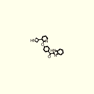 O=C(c1ccc(Oc2ncccc2C2CNC2)cc1)c1nc2ccccc2[nH]1